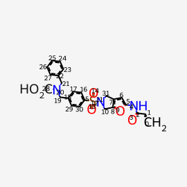 C=CC(=O)Nc1cc2c(o1)CN(S(=O)(=O)c1ccc(CN(Cc3ccccc3)C(=O)O)cc1)C2